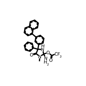 CN1C(=O)C(c2ccccc2)(c2cccc(-c3cccc4ccccc34)c2)NC1(N)OC(=O)C(F)(F)F